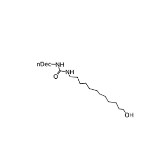 CCCCCCCCCCNC(=O)NCCCCCCCCCCCCO